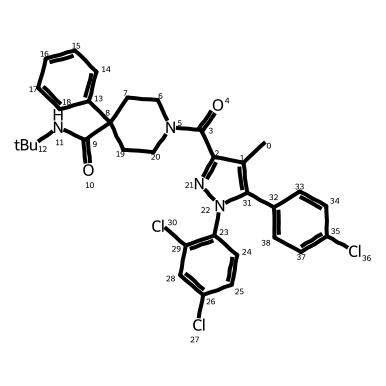 Cc1c(C(=O)N2CCC(C(=O)NC(C)(C)C)(c3ccccc3)CC2)nn(-c2ccc(Cl)cc2Cl)c1-c1ccc(Cl)cc1